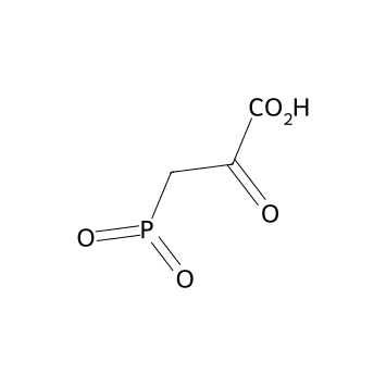 O=C(O)C(=O)CP(=O)=O